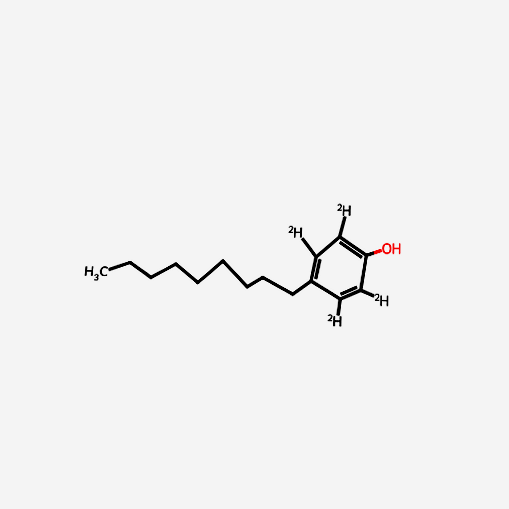 [2H]c1c([2H])c(CCCCCCCCC)c([2H])c([2H])c1O